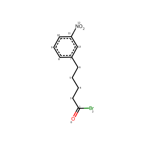 O=C(Br)CCCCc1cccc([N+](=O)[O-])c1